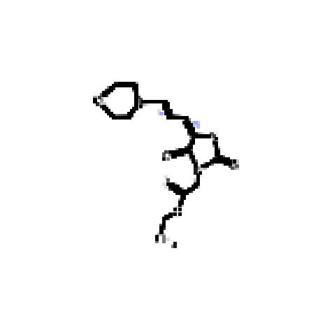 CCOC(=O)CN1C(=O)/C(=C\C=C\N2CCOCC2)SC1=S